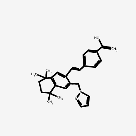 C=C(O)c1ccc(/C=C/c2cc3c(cc2Cn2cccn2)C(C)(C)CCC3(C)C)cc1